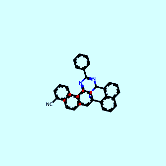 N#Cc1cccc(-c2ccc(-c3cccc4cccc(C5N=C(c6ccccc6)N=C(c6ccccc6)N5)c34)cc2)c1